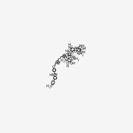 CN1CCN(c2ccc3nc(-c4ccc(OCCn5cc(CCCc6cn(C[C@H]7OC(O[C@@H]8C(O)[C@H](N)CC(N)[C@H]8O[C@H]8OC(CN)[C@@H](O)[C@H](O)C8N)[C@@H](O)[C@H]7O[C@H]7O[C@@H](CN)[C@@H](O)C(O)C7N)nn6)nn5)cc4)[nH]c3c2)CC1